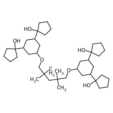 CC(C)(COC1CC(C2(O)CCCC2)CC(C2(O)CCCC2)C1)CC(C)(C)COC1CC(C2(O)CCCC2)CC(C2(O)CCCC2)C1